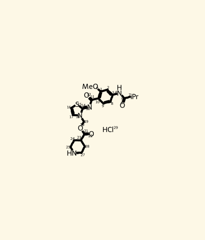 COc1cc(NC(=O)C(C)C)ccc1C(=O)/N=c1\sccn1COC(=O)C1CCNCC1.Cl